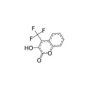 O=c1oc2ccccc2c(C(F)(F)F)c1O